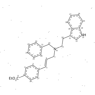 CCOC(=O)c1ccc(/C=C/CN(CCc2c[nH]c3ccccc23)Cc2ccccc2)cc1